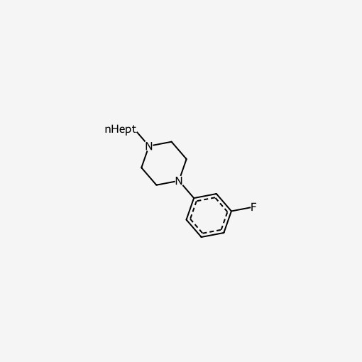 CCCCCCCN1CCN(c2cccc(F)c2)CC1